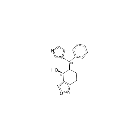 O[C@@H]1c2nonc2CCC1[C@@H]1c2ccccc2-c2cncn21